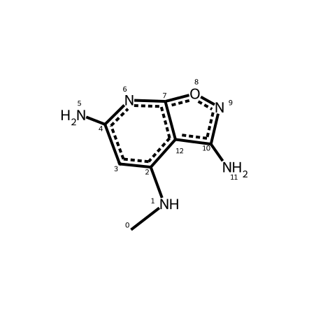 CNc1cc(N)nc2onc(N)c12